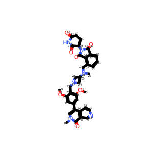 COc1cc(-c2cn(C)c(=O)c3cnccc23)cc(OC)c1CN1CC(N(C)Cc2cccc3c2C(=O)N(C2CCC(=O)NC2=O)C3=O)C1